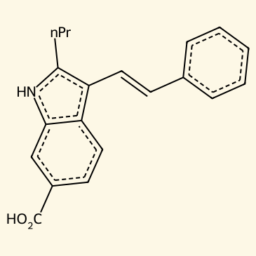 CCCc1[nH]c2cc(C(=O)O)ccc2c1C=Cc1ccccc1